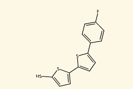 Fc1ccc(-c2ccc(-c3ccc(S)s3)s2)cc1